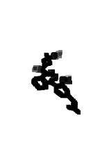 CC(C)=Cc1ccc(-c2nnc(NC3CC(C)(O)C3)c3ccccc23)c(O)c1